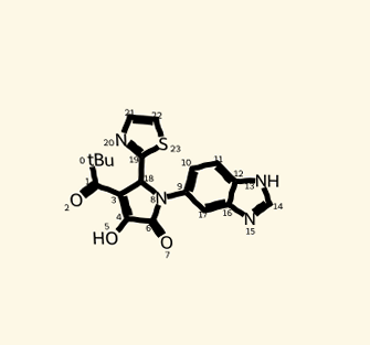 CC(C)(C)C(=O)C1=C(O)C(=O)N(c2ccc3[nH]cnc3c2)C1c1nccs1